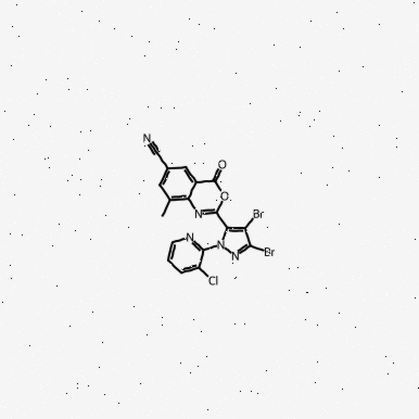 Cc1cc(C#N)cc2c(=O)oc(-c3c(Br)c(Br)nn3-c3ncccc3Cl)nc12